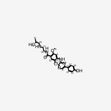 COc1cc(Nc2cncc(-c3ccc(O)cc3)n2)c(Cl)cc1C(=O)NCCNCC(C)O